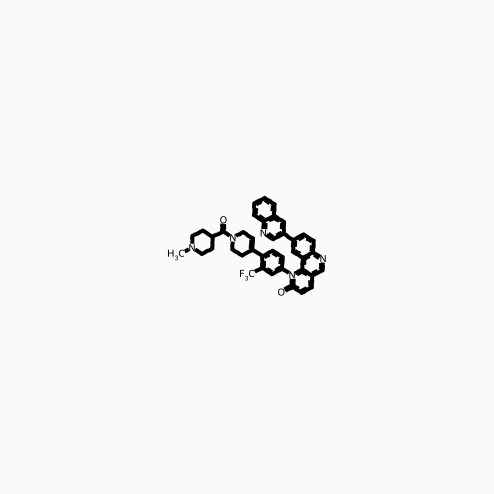 CN1CCC(C(=O)N2CC=C(c3ccc(-n4c(=O)ccc5cnc6ccc(-c7cnc8ccccc8c7)cc6c54)cc3C(F)(F)F)CC2)CC1